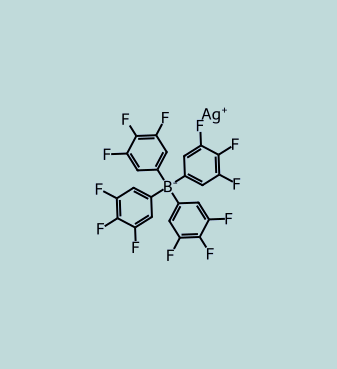 Fc1cc([B-](c2cc(F)c(F)c(F)c2)(c2cc(F)c(F)c(F)c2)c2cc(F)c(F)c(F)c2)cc(F)c1F.[Ag+]